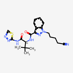 CC(C)(C)[C@H](NC(=O)c1nn(CCCCC#N)c2ccccc12)C(=O)Nc1nncs1